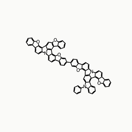 c1ccc(-n2c3ccccc3c3c4c5c6oc7ccccc7c6ccc5n5c6ccc7c8ccc(-c9ccc%10c(c9)oc9c%10ccc%10c9c9c%11c(cc%12c%13c%14oc%15ccccc%15c%14ccc%13n%10c%129)oc9ccccc9%11)cc8oc7c6c(cc32)c45)cc1